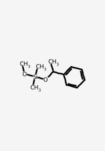 CO[Si](C)(C)OC(C)c1ccccc1